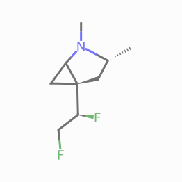 C[C@@H]1C[C@@]2([C@@H](F)CF)CC2N1C